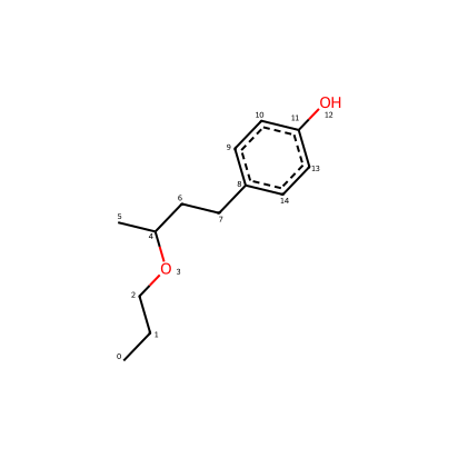 CCCOC(C)CCc1ccc(O)cc1